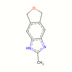 Cc1nc2cc3c(cc2[nH]1)COC3